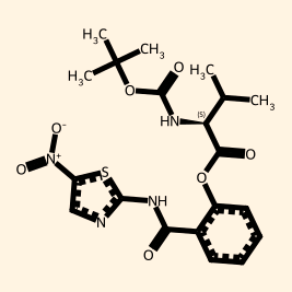 CC(C)[C@H](NC(=O)OC(C)(C)C)C(=O)Oc1ccccc1C(=O)Nc1ncc([N+](=O)[O-])s1